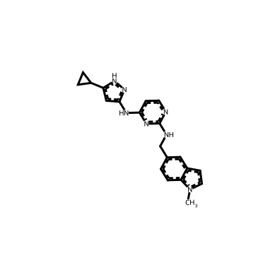 Cn1ccc2cc(CNc3nccc(Nc4cc(C5CC5)[nH]n4)n3)ccc21